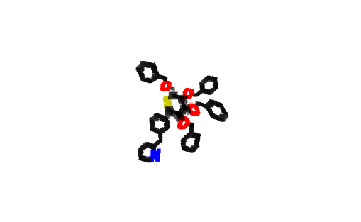 c1ccc(COC[C@H]2S[C@@H](c3cccc(Cc4ccccn4)c3)[C@H](OCc3ccccc3)[C@@H](OCc3ccccc3)[C@@H]2OCc2ccccc2)cc1